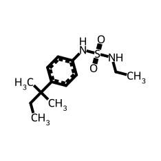 CCNS(=O)(=O)Nc1ccc(C(C)(C)CC)cc1